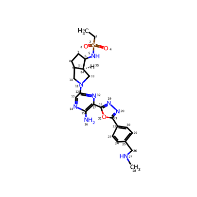 CCS(=O)(=O)NC1CCC2CN(c3cnc(N)c(-c4nnc(-c5ccc(CNC)cc5)o4)n3)C[C@@H]21